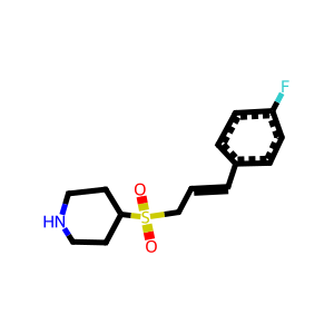 O=S(=O)(CC=Cc1ccc(F)cc1)C1CCNCC1